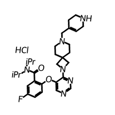 CC(C)N(C(=O)c1cc(F)ccc1Oc1cncnc1N1CC2(CCN(CC3=CCNCC3)CC2)C1)C(C)C.Cl